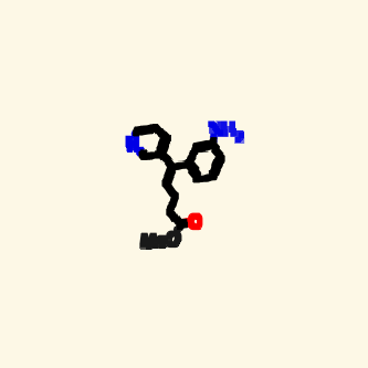 COC(=O)CCC=C(c1cccnc1)c1cccc(N)c1